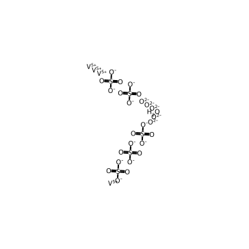 O.O=S(=O)([O-])[O-].O=S(=O)([O-])[O-].O=S(=O)([O-])[O-].O=S(=O)([O-])[O-].O=S(=O)([O-])[O-].[O-2].[O-2].[O-2].[O-2].[O-2].[V+5].[V+5].[V+5].[V+5]